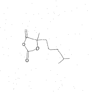 C=C1OC(=O)OC1(C)CCCC(C)C